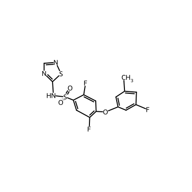 Cc1cc(F)cc(Oc2cc(F)c(S(=O)(=O)Nc3ncns3)cc2F)c1